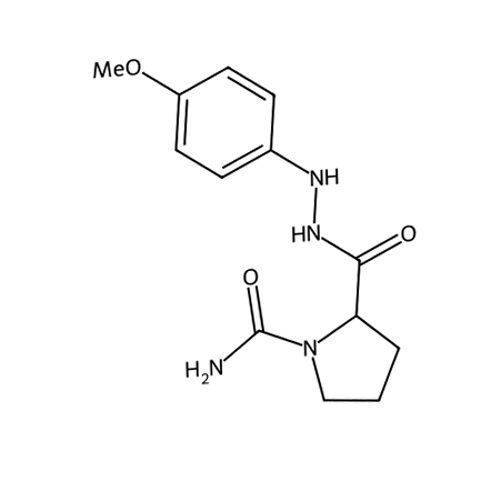 COc1ccc(NNC(=O)C2CCCN2C(N)=O)cc1